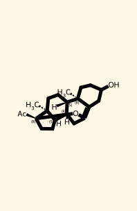 CC(=O)[C@@]12CC[C@H]3[C@@H]4CC(=C5CC(O)CC[C@]5(C)[C@H]4CC[C@@]31C)O2